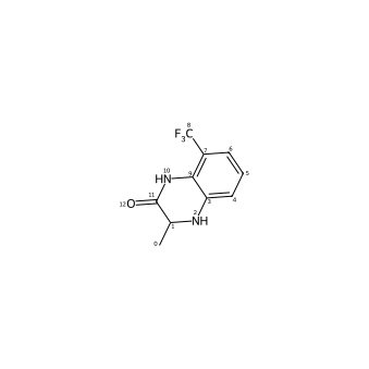 CC1Nc2cccc(C(F)(F)F)c2NC1=O